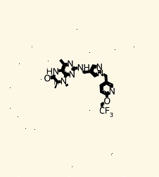 Cc1nc(NCc2cnn(Cc3ccc(OCC(F)(F)F)nc3)c2)nc2c1NC(=O)[C@H](C)N2C